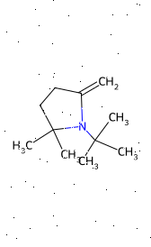 C=C1CCC(C)(C)N1C(C)(C)C